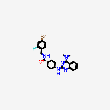 CN(C)c1nc(N[C@H]2CC[C@@H](C(=O)NCc3ccc(Br)cc3F)CC2)nc2ccccc12